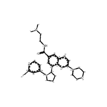 CN(C)CCNC(=O)c1cc(C2CCCN2c2ccnc(F)c2)c2nc(N3CCOCC3)cnc2c1